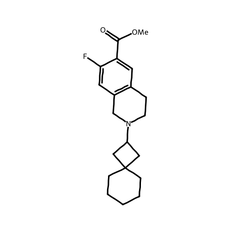 COC(=O)c1cc2c(cc1F)CN(C1CC3(CCCCC3)C1)CC2